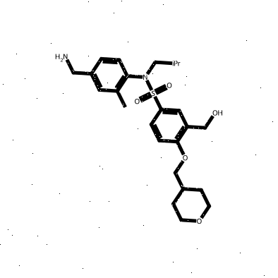 Cc1cc(CN)ccc1N(CC(C)C)S(=O)(=O)c1ccc(OCC2CCOCC2)c(CO)c1